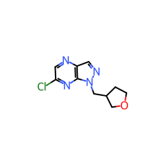 Clc1cnc2cnn(CC3CCOC3)c2n1